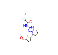 O=Cc1ccc(-c2cccc3nc(NC(=O)[C@H]4C[C@@H]4F)nn23)s1